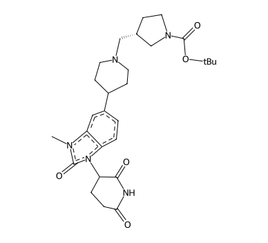 Cn1c(=O)n(C2CCC(=O)NC2=O)c2ccc(C3CCN(C[C@@H]4CCN(C(=O)OC(C)(C)C)C4)CC3)cc21